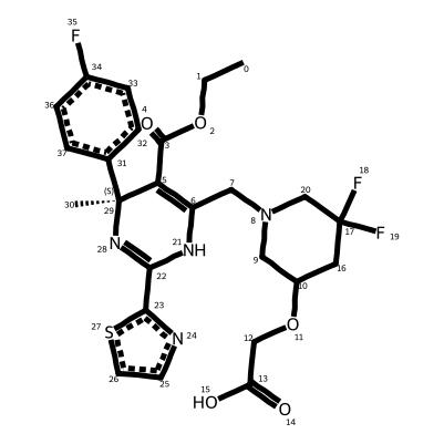 CCOC(=O)C1=C(CN2CC(OCC(=O)O)CC(F)(F)C2)NC(c2nccs2)=N[C@@]1(C)c1ccc(F)cc1